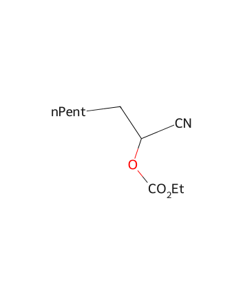 CCCCCCC(C#N)OC(=O)OCC